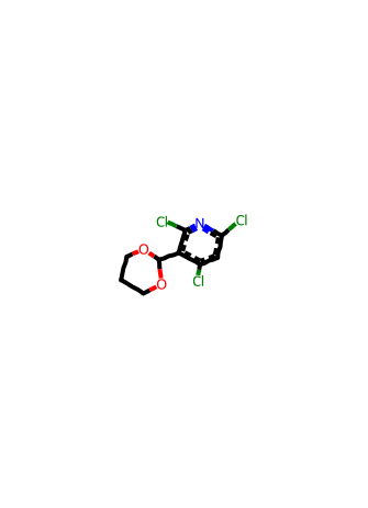 Clc1cc(Cl)c(C2OCCCO2)c(Cl)n1